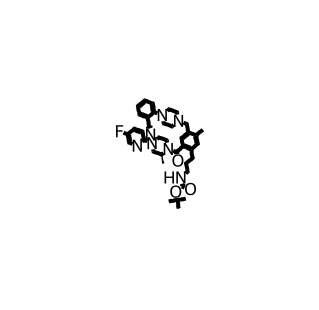 Cc1cc(CCCNC(=O)OC(C)(C)C)c(C(=O)N2CCN(c3ccc(F)cn3)C[C@@H]2C)cc1CN1CCN(c2ccccc2C#N)CC1